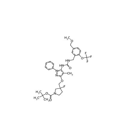 COCc1ccc(OC(F)(F)F)c(CNC(=O)Nc2c(C)c(OCC3(F)CCN(C(=O)OC(C)(C)C)C3)nn2-c2ccccc2)c1